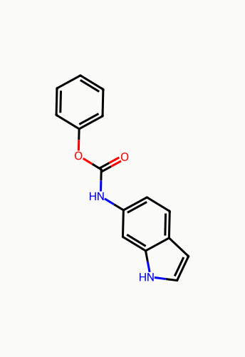 O=C(Nc1ccc2cc[nH]c2c1)Oc1ccccc1